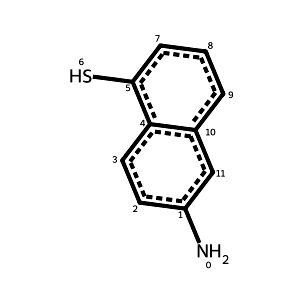 Nc1ccc2c(S)cccc2c1